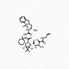 C=CCNC(=O)C(=O)C(CCC)NC(=O)[C@@H]1[C@@H]2[C@H](CN1C(=O)[C@@H](NC(=O)N[C@H](CN1Cc3ccccc3S1(=O)=O)C(C)(C)C)C1(C)CCCCC1)C2(C)C